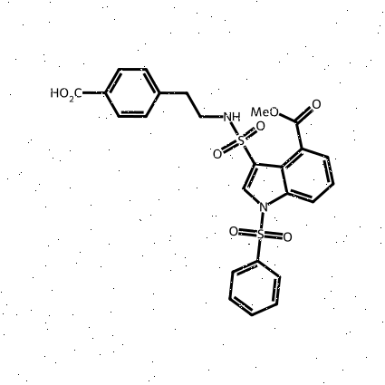 COC(=O)c1cccc2c1c(S(=O)(=O)NCCc1ccc(C(=O)O)cc1)cn2S(=O)(=O)c1ccccc1